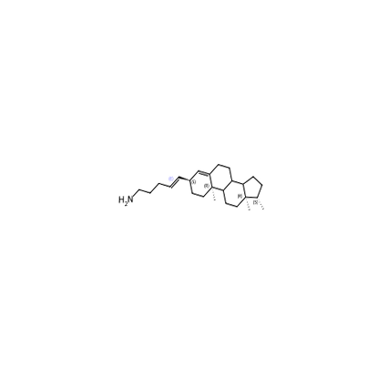 C[C@H]1CCC2C3CCC4=C[C@H](/C=C/CCCN)CC[C@]4(C)C3CC[C@@]21C